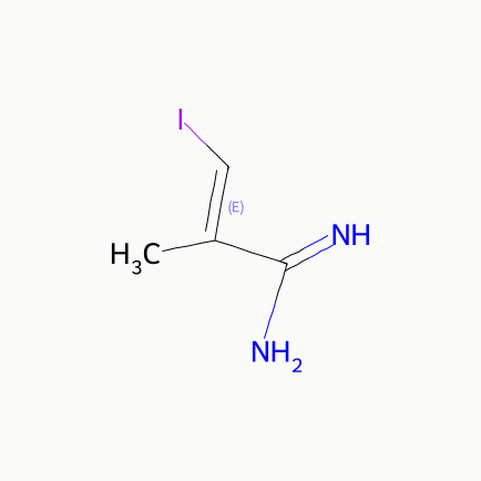 C/C(=C\I)C(=N)N